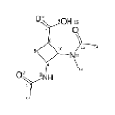 CC(=O)NC1CC(C(=O)O)C1N(C)C(C)=O